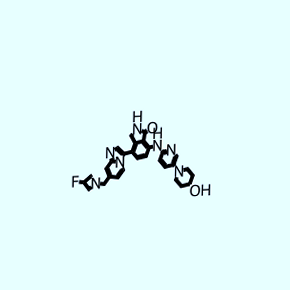 O=C1NCc2c(-c3cnc4cc(CN5CC(F)C5)ccn34)ccc(Nc3ccc(N4CCC(O)CC4)cn3)c21